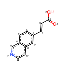 O=C(O)/C=C/c1ccc2cnccc2c1